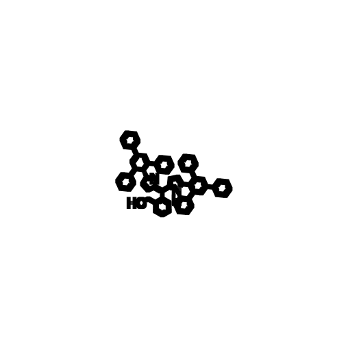 OCc1ccccc1/C(=C1\C=CC([C@@H]2C(c3ccccc3)=CC(c3ccccc3)=CC2c2ccccc2)=N1)c1ccc(-c2c(-c3ccccc3)cc(-c3ccccc3)cc2-c2ccccc2)[nH]1